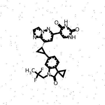 CC(F)(F)CN1C(=O)C2(CC2)c2ccc(C3C[C@@H]3c3cc(-c4c[nH]c(=O)[nH]c4=O)nn4ccnc34)cc21